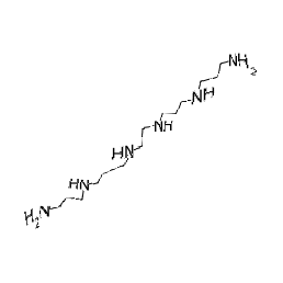 NCCCNCCCNCCNCCCNCCCN